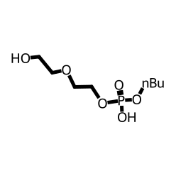 CCCCOP(=O)(O)OCCOCCO